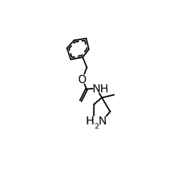 C=C(NC(C)(CC)CN)OCc1ccccc1